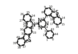 c1ccc(-c2nc(-c3cccc4sc5ccccc5c34)nc(-n3c4ccccc4c4cc5c(cc43)sc3ccccc35)n2)cc1